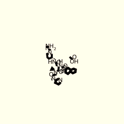 CC(=O)O.CN(C(=O)CN(C(=O)[C@H](CC(=O)NC[C@@H]1CCCN(C=NN)C1)NS(=O)(=O)c1ccc2ccccc2c1)C1CC1)c1cccnc1